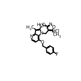 Cc1noc(C)c1Cn1c(C)c(C)c2nccc(OCc3ccc(F)cc3)c21.Cl